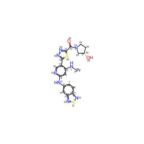 CC(C)Nc1cc(Nc2ccc3nsnc3c2)ncc1-c1nnc(C(=O)N2CC[C@H](O)C2)s1